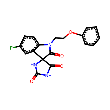 O=C1NC(=O)C2(N1)C(=O)N(CCOc1ccccc1)c1ccc(F)cc12